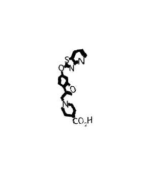 O=C(O)C1CCN(Cc2coc3cc(Oc4nc5ncccc5s4)ccc23)CC1